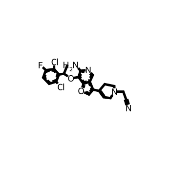 CC(Oc1c(N)ncc2c(C3=CCN(CC#N)CC3)coc12)c1c(Cl)ccc(F)c1Cl